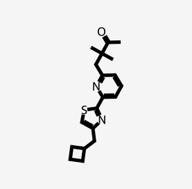 CC(=O)C(C)(C)Cc1cccc(-c2nc(CC3CCC3)cs2)n1